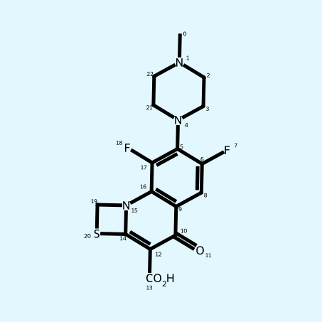 CN1CCN(c2c(F)cc3c(=O)c(C(=O)O)c4n(c3c2F)CS4)CC1